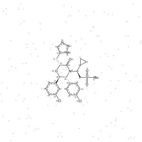 CC(C)(C)S(=O)(=O)C[C@H](C1CC1)N1C(=O)[C@@H](Cc2cnn[nH]2)O[C@H](c2cccc(Cl)c2)[C@H]1c1ccc(Cl)cc1